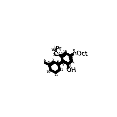 CCCCCCCCc1cc(O)c(C2C=C(C)CCC2)c(OC(C)C)c1